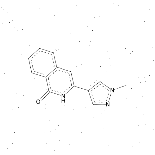 Cn1cc(-c2cc3ccccc3c(=O)[nH]2)cn1